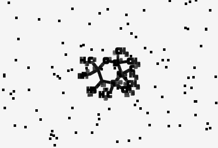 CCCC1(C)O[Si](C)(C)[Si](C)(C)[Si](C)(C)C1S